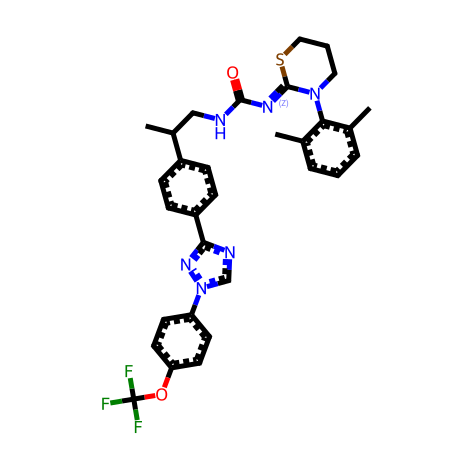 Cc1cccc(C)c1N1CCCS/C1=N\C(=O)NCC(C)c1ccc(-c2ncn(-c3ccc(OC(F)(F)F)cc3)n2)cc1